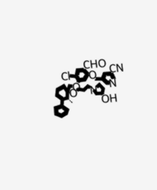 C[C@@H]1C(c2ccccc2)=CC=CC1(COc1cc(OCc2cncc(C#N)c2)c(C=O)cc1Cl)OCCCN1CCC(O)C1